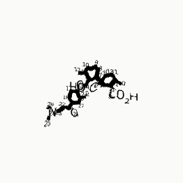 CC1=C(C(=O)O)CC(C(=O)O)(c2cccc(C)c2COc2ccc(C(=O)C=CN(C)C)cc2C)C=C1